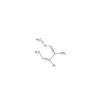 C=N/C=C(C)\C(=C/C)CC